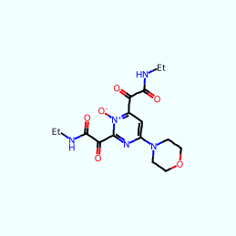 CCNC(=O)C(=O)c1cc(N2CCOCC2)nc(C(=O)C(=O)NCC)[n+]1[O-]